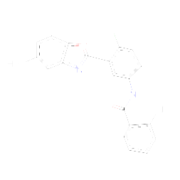 Cc1ccc2oc(-c3cc(NC(=O)c4ccccc4C)ccc3Cl)nc2c1